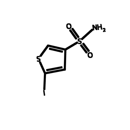 NS(=O)(=O)c1csc(I)c1